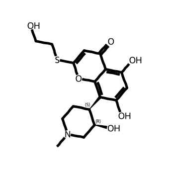 CN1CC[C@@H](c2c(O)cc(O)c3c(=O)cc(SCCO)oc23)[C@@H](O)C1